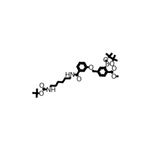 COC(=O)c1ccc(COc2cccc(C(=O)NCCCCCCNC(=O)OC(C)(C)C)c2)cc1B1OC(C)(C)C(C)(C)O1